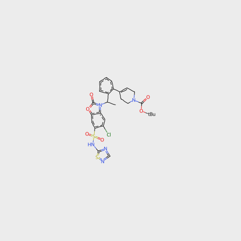 CC(c1ccccc1C1=CCN(C(=O)OC(C)(C)C)CC1)n1c(=O)oc2cc(S(=O)(=O)Nc3ncns3)c(Cl)cc21